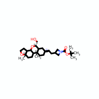 CC(C)(C)OC(=O)N1CC(C/C=C2\CC[C@]3(C)C4CC[C@]5(C)OCCC5C4O[C@H](CO)C3C2)C1